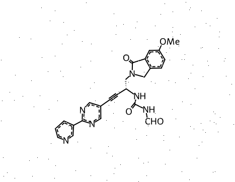 COc1ccc2c(c1)C(=O)N(C[C@@H](C#Cc1cnc(-c3cccnc3)nc1)NC(=O)NC=O)C2